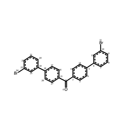 O=C(c1ccc(-c2cccc(Br)c2)cc1)c1ccc(-c2cccc(Br)c2)cc1